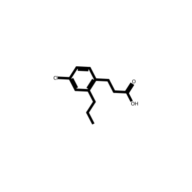 CCCc1cc(Cl)ccc1CCC(=O)O